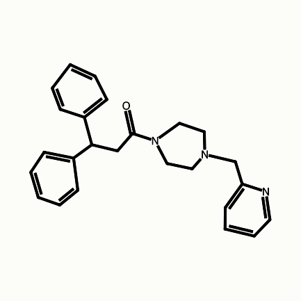 O=C(CC(c1ccccc1)c1ccccc1)N1CCN(Cc2ccccn2)CC1